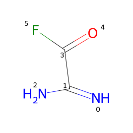 N=C(N)C(=O)F